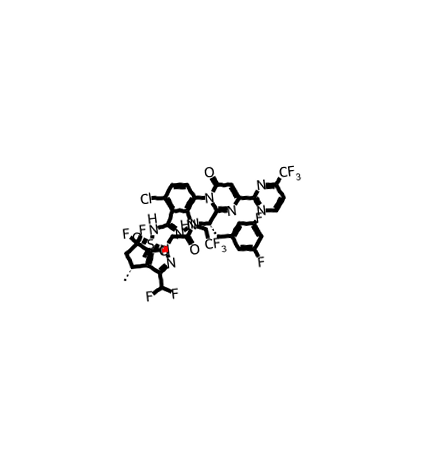 C[C@@H]1CC(F)(F)c2c1c(C(F)F)nn2CC(=O)N[C@@H](Cc1cc(F)cc(F)c1)c1nc(-c2nccc(C(F)(F)F)n2)cc(=O)n1-c1ccc(Cl)c2c(NS(C)(=O)=O)nn(CC(F)(F)F)c12